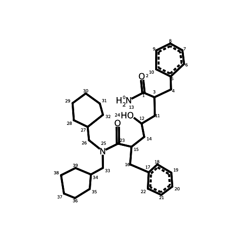 NC(=O)C(Cc1ccccc1)CC(O)CC(Cc1ccccc1)C(=O)N(CC1CCCCC1)CC1CCCCC1